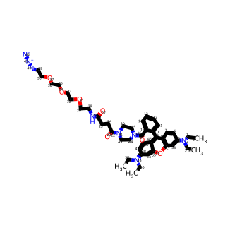 CCN(CC)c1ccc2c(-c3ccccc3C(=O)N3CCN(C(=O)CCC(=O)NCCOCCOCCOCCN=[N+]=[N-])CC3)c3ccc(=[N+](CC)CC)cc-3oc2c1